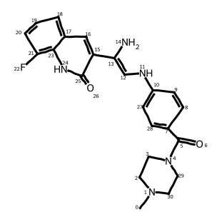 CN1CCN(C(=O)c2ccc(N/C=C(\N)c3cc4cccc(F)c4[nH]c3=O)cc2)CC1